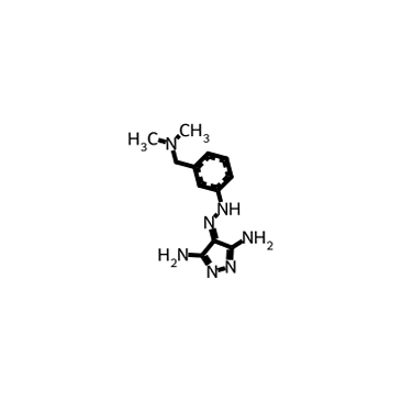 CN(C)Cc1cccc(NN=C2C(N)=NN=C2N)c1